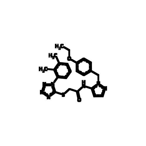 CCOc1ccc(Cn2nccc2NC(=O)CSc2nnnn2-c2cccc(C)c2C)cc1